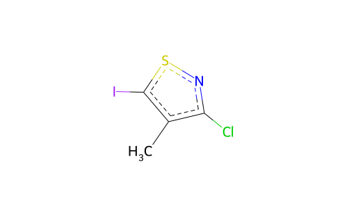 Cc1c(Cl)nsc1I